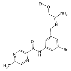 CCOC/C(N)=N\Cc1cc(Br)cc(NC(=O)c2cnc(C)cn2)c1